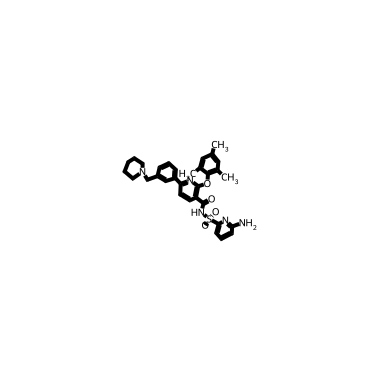 Cc1cc(C)c(Oc2nc(-c3cccc(CN4CCCCC4)c3)ccc2C(=O)NS(=O)(=O)c2cccc(N)n2)c(C)c1